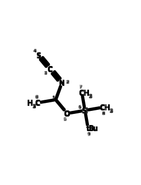 CC(N=C=S)O[Si](C)(C)C(C)(C)C